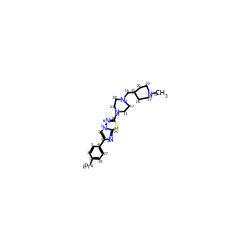 CC(C)c1ccc(-c2cn3nc(N4CCN(CC5CCN(C)CC5)CC4)sc3n2)cc1